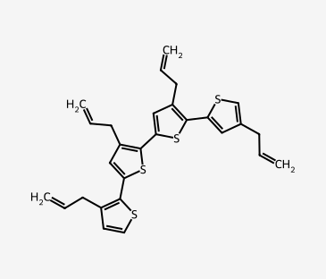 C=CCc1csc(-c2sc(-c3sc(-c4sccc4CC=C)cc3CC=C)cc2CC=C)c1